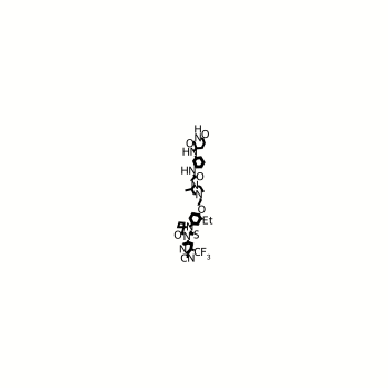 CCc1cc(N2C(=S)N(c3cnc(C#N)c(C(F)(F)F)c3)C(=O)C23CCC3)ccc1OCCN1CCN(CC(=O)Nc2cccc(NC3CCC(=O)NC3=O)c2)C(C)C1